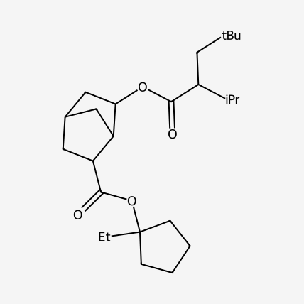 CCC1(OC(=O)C2CC3CC(OC(=O)C(CC(C)(C)C)C(C)C)C2C3)CCCC1